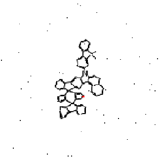 CC1(C)c2ccccc2-c2ccc(-n3c4cc5c(cc4c4c6ccccc6ccc43)C3(c4ccccc4-5)c4ccccc4C4(c5ccccc5-c5ccccc54)c4ccccc43)cc21